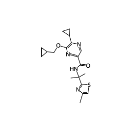 Cc1csc(C(C)(C)NC(=O)c2cnc(C3CC3)c(OCC3CC3)n2)n1